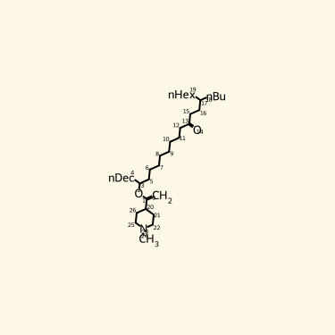 C=C(OC(CCCCCCCCCC)CCCCCCCCC(=O)CCC(CCCC)CCCCCC)C1CCN(C)CC1